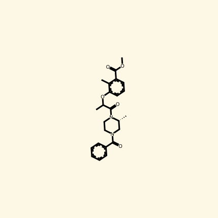 COC(=O)c1cccc(OC(C)C(=O)N2CCN(C(=O)c3ccccc3)C[C@H]2C)c1C